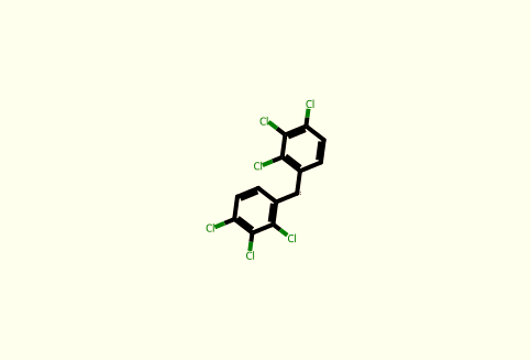 Clc1ccc([C]c2ccc(Cl)c(Cl)c2Cl)c(Cl)c1Cl